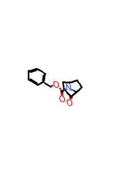 O=C1CCC2CCC1N2C(=O)OCc1ccccc1